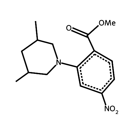 COC(=O)c1ccc([N+](=O)[O-])cc1N1CC(C)CC(C)C1